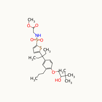 CCCc1cc(C(CC)(CC)c2ccc(S(=O)(=O)NCC(=O)OC)s2)ccc1OCC(O)C(C)(C)C